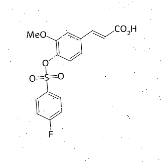 COc1cc(/C=C/C(=O)O)ccc1OS(=O)(=O)c1ccc(F)cc1